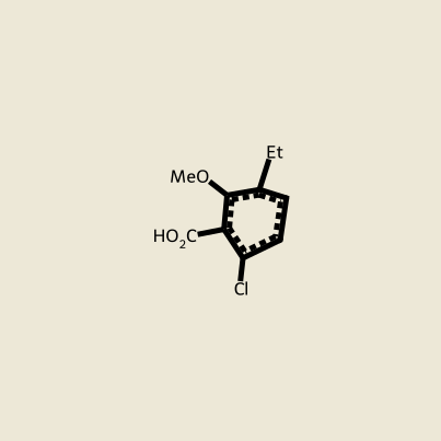 CCc1ccc(Cl)c(C(=O)O)c1OC